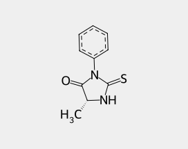 C[C@H]1NC(=S)N(c2ccccc2)C1=O